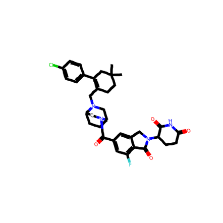 CC1(C)CCC(CN2CC3CCC2CN3C(=O)c2cc(F)c3c(c2)CN(C2CCC(=O)NC2=O)C3=O)=C(c2ccc(Cl)cc2)C1